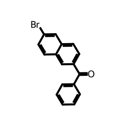 O=C(c1ccccc1)c1ccc2cc(Br)ccc2c1